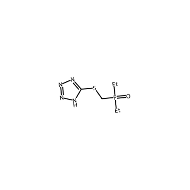 CCP(=O)(CC)CSc1nnn[nH]1